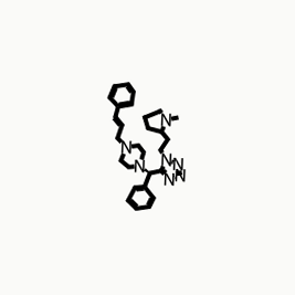 CN1CCCC1CCn1nnnc1[C@@H](c1ccccc1)N1CCN(C/C=C/c2ccccc2)CC1